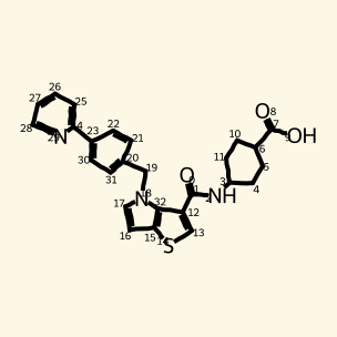 O=C(NC1CCC(C(=O)O)CC1)c1csc2ccn(Cc3ccc(-c4ccccn4)cc3)c12